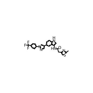 Cc1nc(CC(=O)Nc2c[nH]c3ccc(-c4cnn(-c5ccc(C(F)(F)F)cc5)c4)cc23)cs1